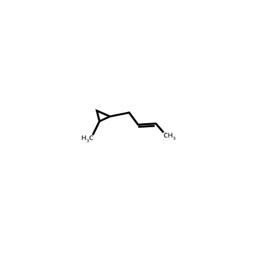 CC=CCC1CC1C